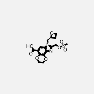 CS(=O)(=O)OCc1nc2c3c(c(C(=O)O)cc2n1C[C@@H]1CCO1)OCCO3